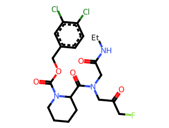 CCNC(=O)CN(CC(=O)CF)C(=O)C1CCCCN1C(=O)OCc1ccc(Cl)c(Cl)c1